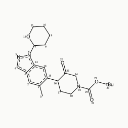 Cc1cc2cnn(C3CCCCO3)c2cc1C1CCN(C(=O)OC(C)(C)C)CC1=O